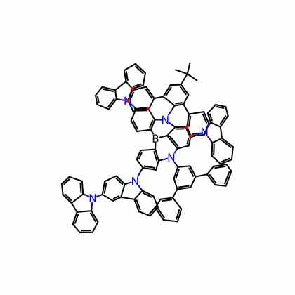 CC(C)(C)c1cc(-c2ccccc2)c(N2c3cc(-n4c5ccccc5c5ccccc54)ccc3B3c4ccc(-n5c6ccccc6c6cc(-n7c8ccccc8c8ccccc87)ccc65)cc4N(c4cc(-c5ccccc5)cc(-c5ccccc5)c4)c4cc(-n5c6ccccc6c6ccccc65)cc2c43)c(-c2ccccc2)c1